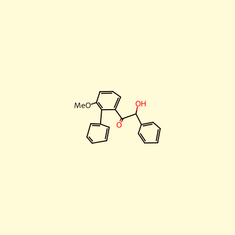 COc1cccc(C(=O)C(O)c2ccccc2)c1-c1ccccc1